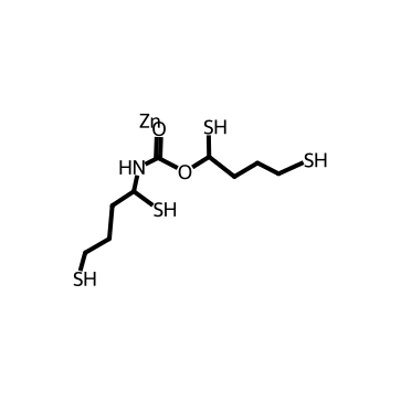 O=C(NC(S)CCCS)OC(S)CCCS.[Zn]